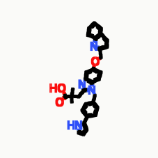 CC(C)(Cc1nc2cc(OCc3ccc4ccccc4n3)ccc2n1Cc1ccc(-c2ccc[nH]2)cc1)C(=O)O